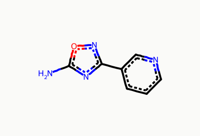 Nc1nc(-c2cccnc2)no1